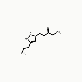 CCCC1=CN(CCC(=O)CC)NN1